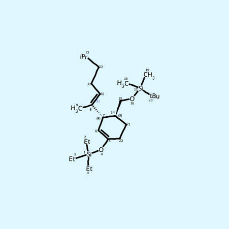 CC[Si](CC)(CC)OC1=C[C@H](/C(C)=C/CCC(C)C)[C@@H](CO[Si](C)(C)C(C)(C)C)CC1